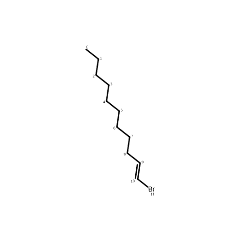 CCCCCCCCCC=CBr